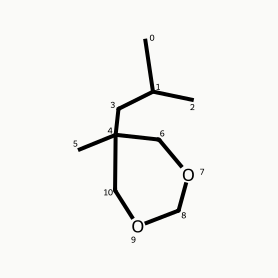 CC(C)CC1(C)COCOC1